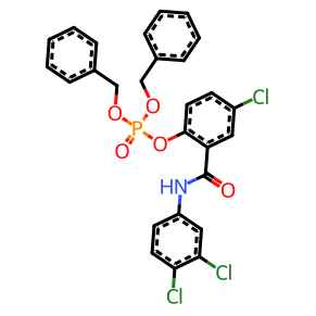 O=C(Nc1ccc(Cl)c(Cl)c1)c1cc(Cl)ccc1OP(=O)(OCc1ccccc1)OCc1ccccc1